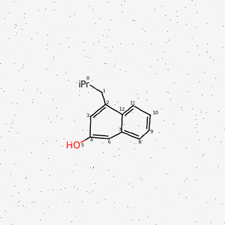 CC(C)Cc1cc(O)cc2ccccc12